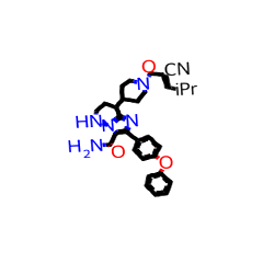 CC(C)C=C(C#N)C(=O)N1CCC(C2CCNn3c2nc(-c2ccc(Oc4ccccc4)cc2)c3C(N)=O)CC1